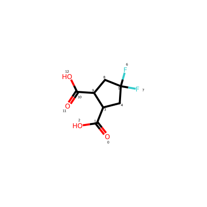 O=C(O)C1CC(F)(F)CC1C(=O)O